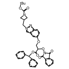 CC(C)(C)OC(=O)N1CC(Cn2cc3cc(OCC(ON4C(=O)c5ccccc5C4=O)C(=O)OC(c4ccccc4)c4ccccc4)ccc3n2)C1